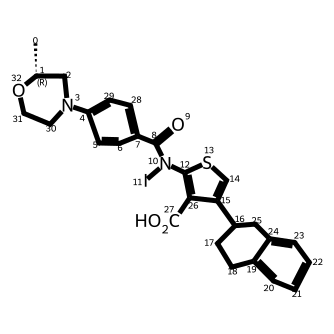 C[C@@H]1CN(c2ccc(C(=O)N(I)c3scc(C4CCc5ccccc5C4)c3C(=O)O)cc2)CCO1